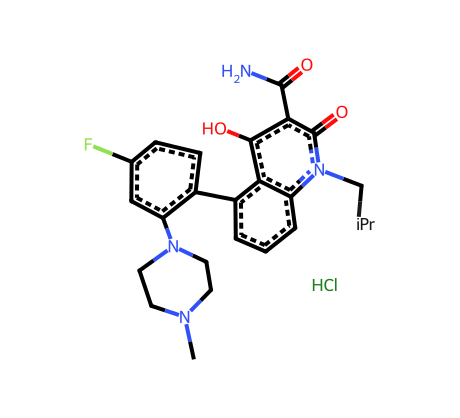 CC(C)Cn1c(=O)c(C(N)=O)c(O)c2c(-c3ccc(F)cc3N3CCN(C)CC3)cccc21.Cl